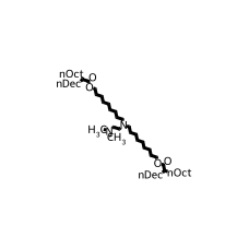 CCCCCCCCCCC(CCCCCCCC)C(=O)OCCCCCCCCCN(CCCCCCCCCOC(=O)C(CCCCCCCC)CCCCCCCCCC)CCN(C)C